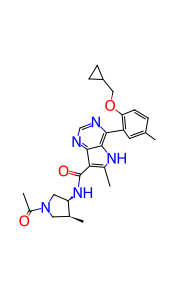 CC(=O)N1C[C@H](C)[C@H](NC(=O)c2c(C)[nH]c3c(-c4cc(C)ccc4OCC4CC4)ncnc23)C1